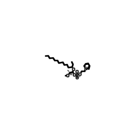 CCCCCCCCCCCC(CC)OC(OP(=O)([O-])OCC[n+]1ccccc1)[C@@H](C)OC